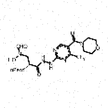 CCCCC[C@H](CN(O)C=O)C(=O)NNc1ncc(C(=O)N2CCOCC2)c(C(F)(F)F)n1